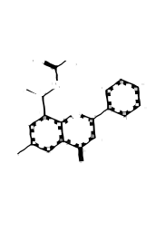 Cc1cc([C@@H](C)NC(=O)O)c2oc(-c3ccccc3)cc(=O)c2c1